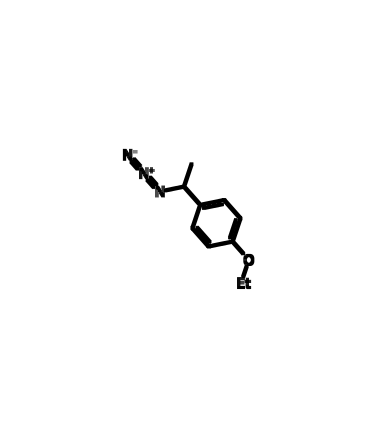 CCOc1ccc(C(C)N=[N+]=[N-])cc1